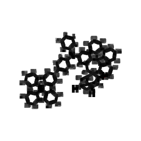 c1ccc(N(c2ccc(-c3ccc([Si](c4ccccc4)(c4ccccc4)c4ccccc4)cc3)cc2)c2ccc3c(c2)CC2(c4ccccc4C3(c3ccccc3)c3ccccc3)C3C[C@H]4C[C@@H](C3)C[C@H]2C4)cc1